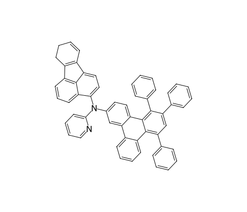 C1=CC2=C(CC1)c1cccc3c(N(c4ccc5c(c4)c4ccccc4c4c(-c6ccccc6)cc(-c6ccccc6)c(-c6ccccc6)c54)c4ccccn4)ccc2c13